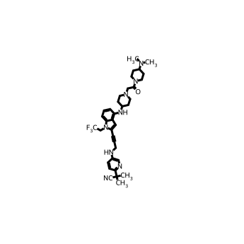 CN(C)C1CCN(C(=O)CN2CCC(Nc3cccc4c3cc(C#CCNc3ccc(C(C)(C)C#N)nc3)n4CC(F)(F)F)CC2)CC1